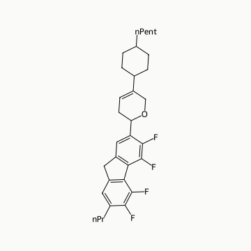 CCCCCC1CCC(C2=CCC(c3cc4c(c(F)c3F)-c3c(cc(CCC)c(F)c3F)C4)OC2)CC1